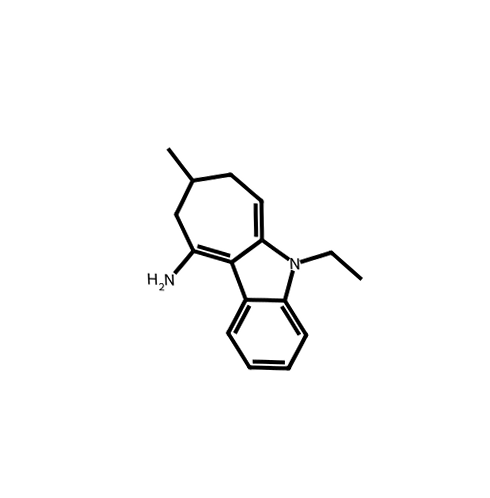 CCn1c2c(c3ccccc31)=C(N)CC(C)CC=2